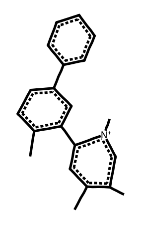 Cc1cc(-c2cc(-c3ccccc3)ccc2C)[n+](C)cc1C